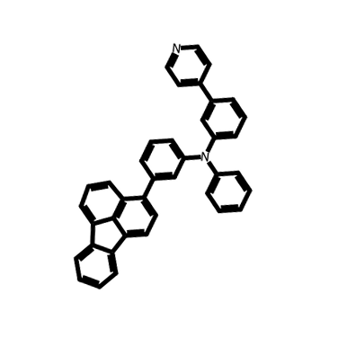 c1ccc(N(c2cccc(-c3ccncc3)c2)c2cccc(-c3ccc4c5c(cccc35)-c3ccccc3-4)c2)cc1